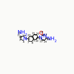 NC[C@H]1CCN(C2CCc3cc(-n4ccc(N)nc4=O)ccc3C2)C1